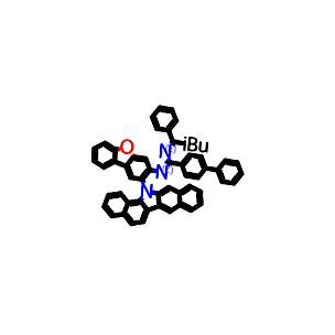 CCC(C)/C(=N\C(=N/c1cc2oc3ccccc3c2cc1-n1c2cc3ccccc3cc2c2ccc3ccccc3c21)c1ccc(-c2ccccc2)cc1)c1ccccc1